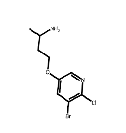 CC(N)CCOc1cnc(Cl)c(Br)c1